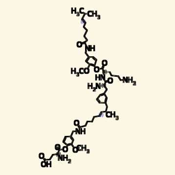 COc1cc(CNC(=O)CCCC/C=C/C(C)C)ccc1OC(=O)[C@H](CCCCN)NC(=O)[C@@H](N)Cc1cccc(CC(C)/C=C/CCCCC(=O)NCc2ccc(OC(=O)[C@@H](N)CCC(=O)O)c(OC)c2)c1